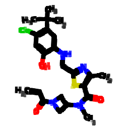 C=CC(=O)N1CC(N(C)C(=O)c2sc(CNc3cc(C(C)(C)C)c(Cl)cc3O)nc2C)C1